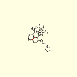 CC1(C)C2CCC1(C)C(N(Nc1ccccc1OCCN1CCCC1)C(=O)c1ccncn1)C2